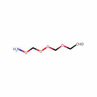 NOCOOCOCC=O